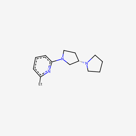 CCc1cccc(N2CC[C@H](N3CCCC3)C2)n1